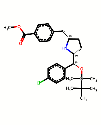 COC(=O)c1ccc(C[C@@H]2CC[C@H]([C@H](O[Si](C)(C)C(C)(C)C)c3ccc(Cl)cc3)N2)cc1